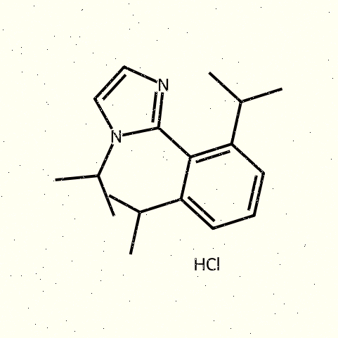 CC(C)c1cccc(C(C)C)c1-c1nccn1C(C)C.Cl